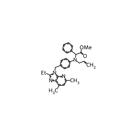 C=CCN(c1ccc(Cn2c(CC)nc3c(C)cc(C)nc32)cc1)C(C(=O)OC)c1ccccc1